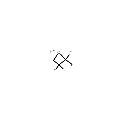 F.FC1(F)COC1(F)F